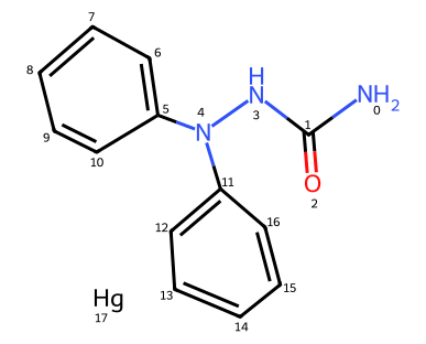 NC(=O)NN(c1ccccc1)c1ccccc1.[Hg]